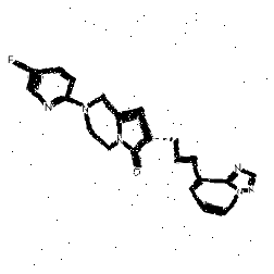 O=C1[C@@H](CCCc2cccn3ncnc23)C=C2CN(c3ccc(F)cn3)CCN12